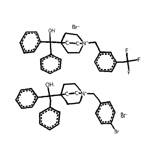 OC(c1ccccc1)(c1ccccc1)C12CC[N+](Cc3ccc(Br)cc3)(CC1)CC2.OC(c1ccccc1)(c1ccccc1)C12CC[N+](Cc3cccc(C(F)(F)F)c3)(CC1)CC2.[Br-].[Br-]